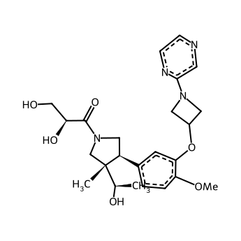 COc1ccc([C@@H]2CN(C(=O)[C@@H](O)CO)C[C@@]2(C)[C@@H](C)O)cc1OC1CN(c2cnccn2)C1